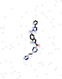 O=C(c1cc2cc(Nc3nccc(-c4ccccn4)n3)ccc2[nH]1)N1CCN(CCn2ccnc2)CC1